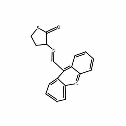 O=C1SCCC1N=Cc1c2ccccc2nc2ccccc12